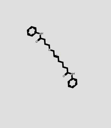 O=C(CCCC/C=C/COCCCC(=O)Nc1ccccc1)Nc1ccccc1